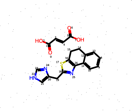 O=C(O)/C=C/C(=O)O.c1ccc2c(c1)CCc1sc(Cc3c[nH]cn3)nc1-2